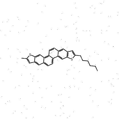 CCCCCCc1cc2cc3ccc4c5cc6sc(C)cc6cc5ccc4c3cc2s1